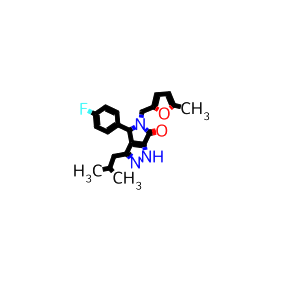 Cc1ccc(CN2C(=O)c3[nH]nc(CC(C)C)c3C2c2ccc(F)cc2)o1